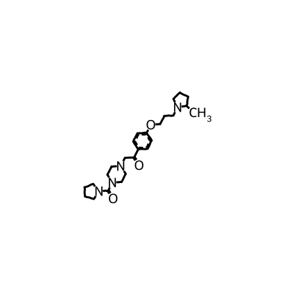 CC1CCCN1CCCOc1ccc(C(=O)CN2CCN(C(=O)N3CCCC3)CC2)cc1